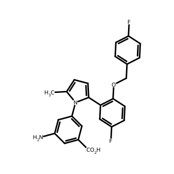 Cc1ccc(-c2cc(F)ccc2OCc2ccc(F)cc2)n1-c1cc(N)cc(C(=O)O)c1